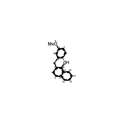 COc1cccc(Cc2ccc3ccccc3c2O)c1